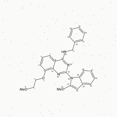 COCCOc1cccc2c(NCc3ccccc3)nc(-n3c(OC)cc4ccccc43)nc12